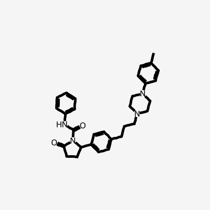 Cc1ccc(N2CCN(CCCc3ccc(C4CCC(=O)N4C(=O)Nc4ccccc4)cc3)CC2)cc1